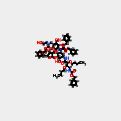 CCCCO[C@H](C(=O)N[C@@H]1C[C@H](NC(=O)OCc2ccccc2)[C@@H](O[C@H]2O[C@H](CN(CCO)C(=O)OCc3ccccc3)[C@@H](O)C[C@H]2NC(=O)OCc2ccccc2)[C@H](O[C@@H]2O[C@H](CO)[C@@H](O)[C@H]2O)[C@H]1O)[C@@H](CNC(=O)OCc1ccccc1)OCCCC